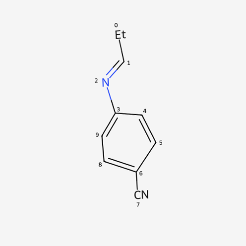 CCC=Nc1ccc(C#N)cc1